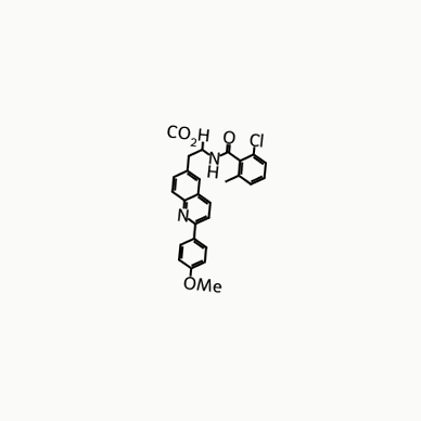 COc1ccc(-c2ccc3cc(CC(NC(=O)c4c(C)cccc4Cl)C(=O)O)ccc3n2)cc1